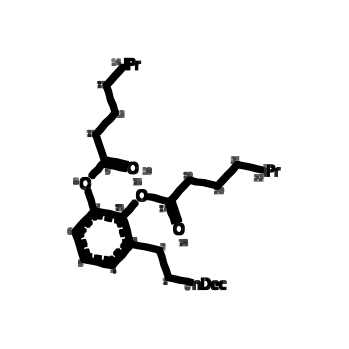 CCCCCCCCCCCCc1cccc(OC(=O)CCCC(C)C)c1OC(=O)CCCC(C)C